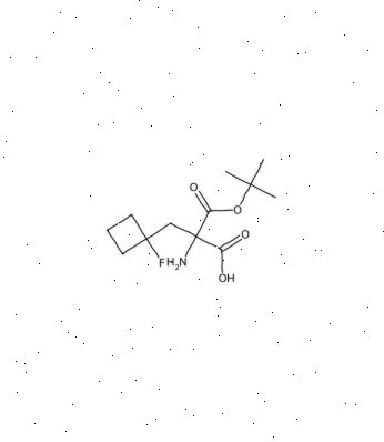 CC(C)(C)OC(=O)C(N)(CC1(F)CCC1)C(=O)O